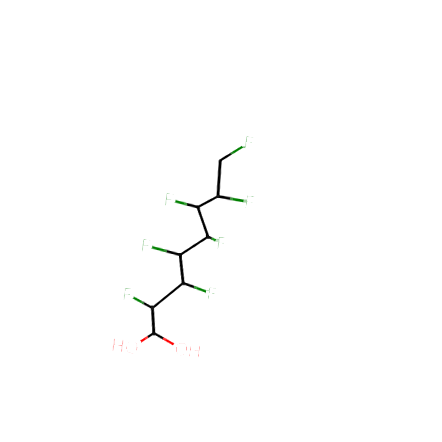 OC(O)C(F)C(F)C(F)C(F)C(F)C(F)CF